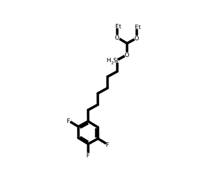 CCOC(OCC)O[SiH2]CCCCCCc1cc(F)c(F)cc1F